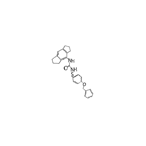 O=C(NSc1ccc(OCc2ccccc2)cc1)Nc1c2c(cc3c1CCC3)CCC2